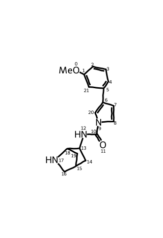 COc1cccc(-c2ccn(C(=O)NC3CC4CNC3C4)c2)c1